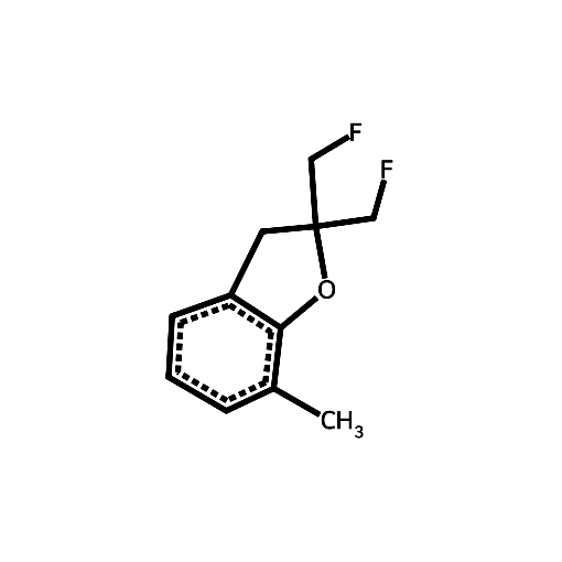 Cc1cccc2c1OC(CF)(CF)C2